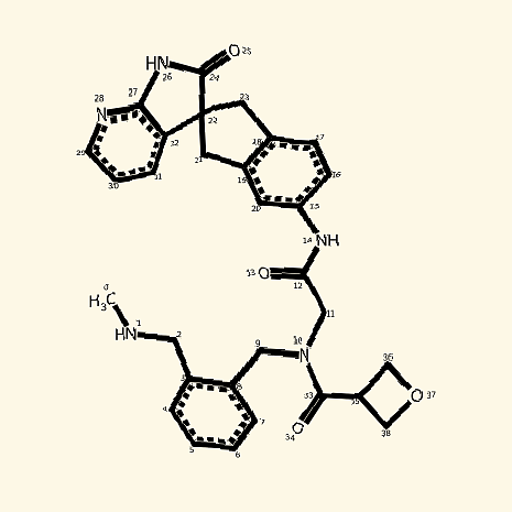 CNCc1ccccc1CN(CC(=O)Nc1ccc2c(c1)CC1(C2)C(=O)Nc2ncccc21)C(=O)C1COC1